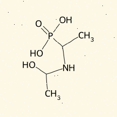 CC(O)NC(C)P(=O)(O)O